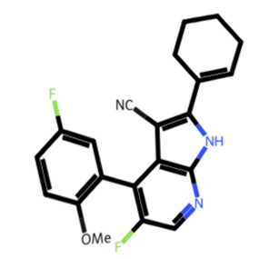 COc1ccc(F)cc1-c1c(F)cnc2[nH]c(C3=CCCCC3)c(C#N)c12